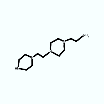 NCCN1CCN(CCN2CCNCC2)CC1